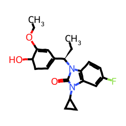 CCOC1=CC([C@@H](CC)n2c(=O)n(C3CC3)c3cc(F)ccc32)=CCC1O